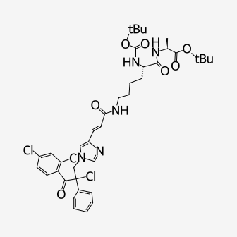 C[C@H](NC(=O)[C@H](CCCCNC(=O)/C=C/c1cn(CC(Cl)(C(=O)c2ccc(Cl)cc2Cl)c2ccccc2)cn1)NC(=O)OC(C)(C)C)C(=O)OC(C)(C)C